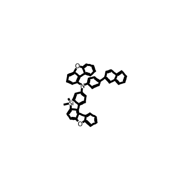 C[Si]1(C)c2cc(N(c3ccc(-c4ccc5ccccc5c4)cc3)c3cccc4oc5ccccc5c34)ccc2-c2c1ccc1oc3ccccc3c21